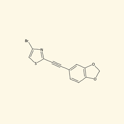 Brc1csc(C#Cc2ccc3c(c2)OCO3)n1